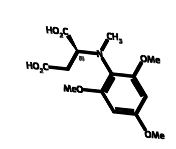 COc1cc(OC)c(N(C)[C@@H](CC(=O)O)C(=O)O)c(OC)c1